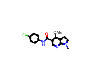 COc1c(C(=O)Nc2ccc(Cl)cc2)cnc2c1ccn2C